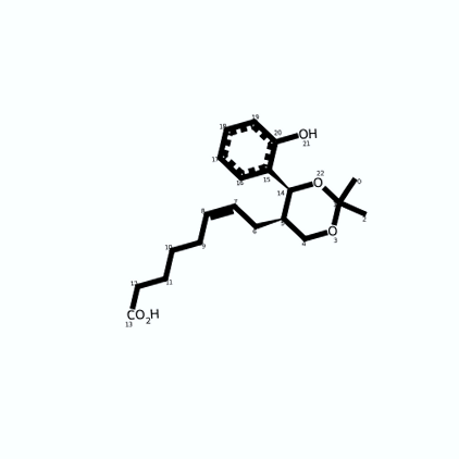 CC1(C)OC[C@@H](C/C=C\CCCCC(=O)O)[C@@H](c2ccccc2O)O1